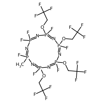 CP1(F)=NP(F)(F)=NP(F)(OCC(F)(F)F)=NP(F)(OCC(F)(F)F)=NP(F)(OCC(F)(F)F)=NP(F)(OCC(F)(F)F)=N1